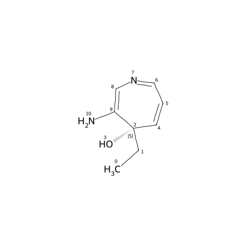 CC[C@]1(O)C=CC=NC=C1N